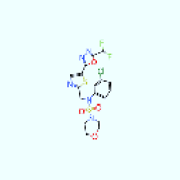 O=S(=O)(N1CCOCC1)N(Cc1ncc(-c2nnc(C(F)F)o2)s1)c1cccc(Cl)c1